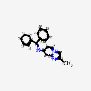 Cc1cn2ccc(N=C(c3ccccc3)c3ccccc3)cc2n1